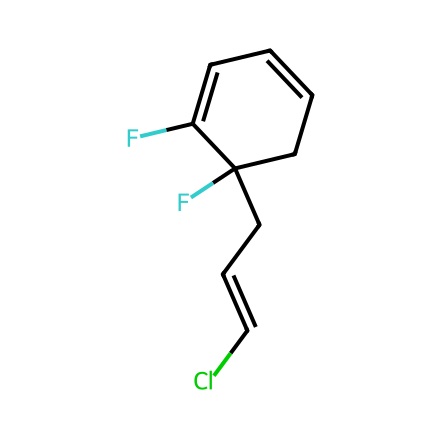 FC1=CC=CCC1(F)CC=CCl